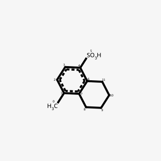 Cc1ccc(S(=O)(=O)O)c2c1CCCC2